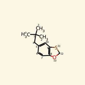 CC(C)(C)Cc1ccc2c(c1)SCO2